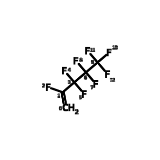 C=C(F)C(F)(F)C(F)(F)C(F)(F)F